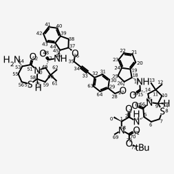 C[C@@H](C(=O)N[C@H]1CCS[C@H]2CC(C)(C)[C@@H](C(=O)N[C@H]3c4ccccc4C[C@H]3OCc3ccc(C#CCO[C@@H]4Cc5ccccc5[C@@H]4NC(=O)[C@H]4N5C(=O)[C@@H](N)CCS[C@H]5CC4(C)C)cc3)N2C1=O)N(C)C(=O)OC(C)(C)C